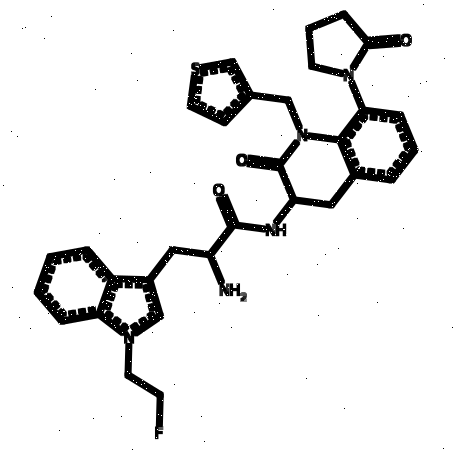 NC(Cc1cn(CCF)c2ccccc12)C(=O)NC1Cc2cccc(N3CCCC3=O)c2N(Cc2ccsc2)C1=O